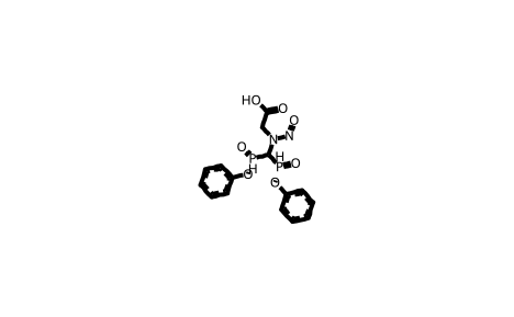 O=NN(CC(=O)O)C([PH](=O)Oc1ccccc1)[PH](=O)Oc1ccccc1